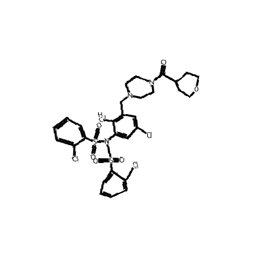 Cc1c(CN2CCN(C(=O)C3CCOCC3)CC2)cc(Cl)cc1N(S(=O)(=O)c1ccccc1Cl)S(=O)(=O)c1ccccc1Cl